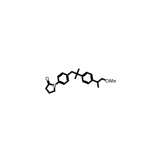 COCC(C)c1ccc(C(C)(C)Cc2ccc(N3CCCC3=O)cc2)cc1